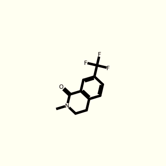 CN1CCc2ccc(C(F)(F)F)cc2C1=O